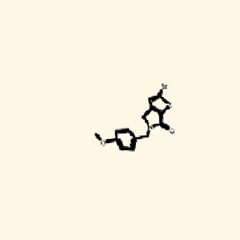 COc1ccc(CN2Cc3cc(Br)sc3C2=O)cc1